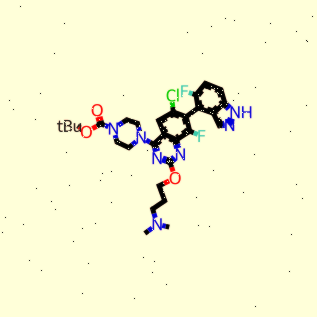 CN(C)CCCOc1nc(N2CCN(C(=O)OC(C)(C)C)CC2)c2cc(Cl)c(-c3c(F)ccc4[nH]ncc34)c(F)c2n1